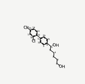 OCCCCC[C@@H](O)c1ccc(-c2ccc(Cl)cc2Cl)cc1